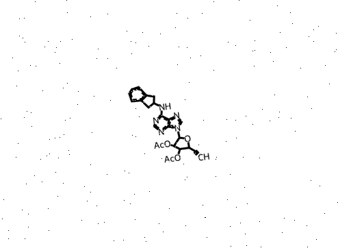 C#CC1OC(n2cnc3c(NC4Cc5ccccc5C4)ncnc32)C(OC(C)=O)C1OC(C)=O